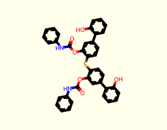 O=C(Nc1ccccc1)Oc1cc(-c2ccccc2O)ccc1Sc1ccc(-c2ccccc2O)cc1OC(=O)Nc1ccccc1